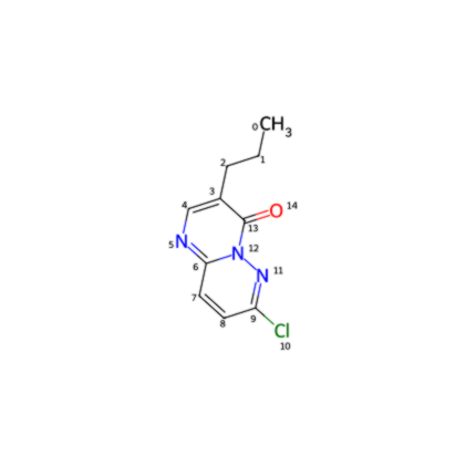 CCCc1cnc2ccc(Cl)nn2c1=O